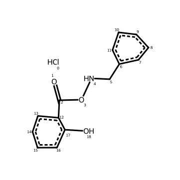 Cl.O=C(ONCc1ccccc1)c1ccccc1O